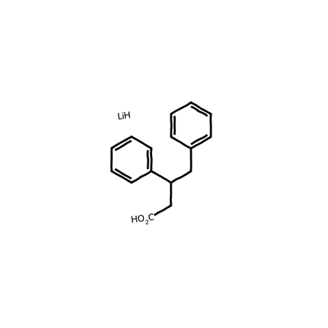 O=C(O)CC(Cc1ccccc1)c1ccccc1.[LiH]